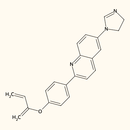 C=CC(=C)Oc1ccc(-c2ccc3cc(N4C=NCC4)ccc3n2)cc1